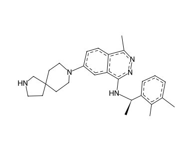 Cc1cccc([C@@H](C)Nc2nnc(C)c3ccc(N4CCC5(CCNC5)CC4)cc23)c1C